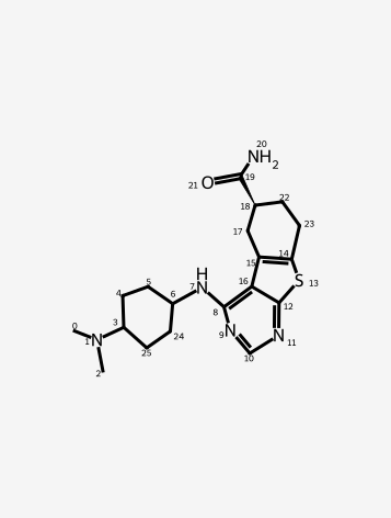 CN(C)C1CCC(Nc2ncnc3sc4c(c23)C[C@@H](C(N)=O)CC4)CC1